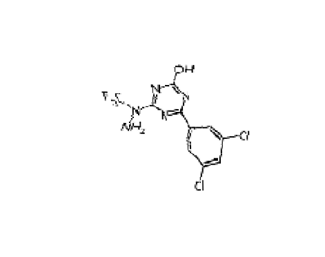 NN(c1nc(O)nc(-c2cc(Cl)cc(Cl)c2)n1)C(F)(F)F